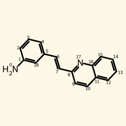 Nc1cccc(C=Cc2ccc3ccccc3n2)c1